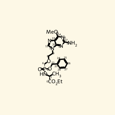 CCOC(=O)[C@H](C)N[P@](=O)(COCCn1cnc2c(OC)nc(N)nc21)OCc1ccccc1